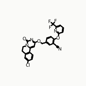 N#Cc1cc(COc2cc3n(c(=O)n2)CCc2cc(Cl)ccc2-3)ccc1Oc1cccc(C(F)(F)F)n1